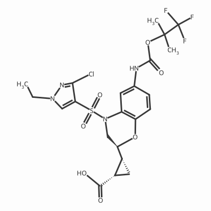 CCn1cc(S(=O)(=O)N2C[C@H]([C@@H]3C[C@@H]3C(=O)O)Oc3ccc(NC(=O)OC(C)(C)C(F)(F)F)cc32)c(Cl)n1